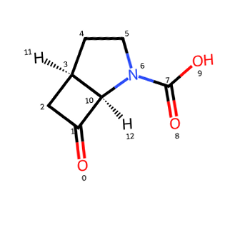 O=C1C[C@H]2CCN(C(=O)O)[C@@H]12